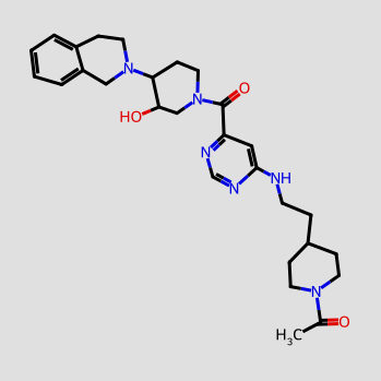 CC(=O)N1CCC(CCNc2cc(C(=O)N3CCC(N4CCc5ccccc5C4)C(O)C3)ncn2)CC1